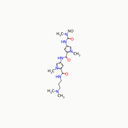 CN(C)CCCNC(=O)c1cc(NC(=O)c2cc(NC(=O)N(C)N=O)cn2C)cn1C